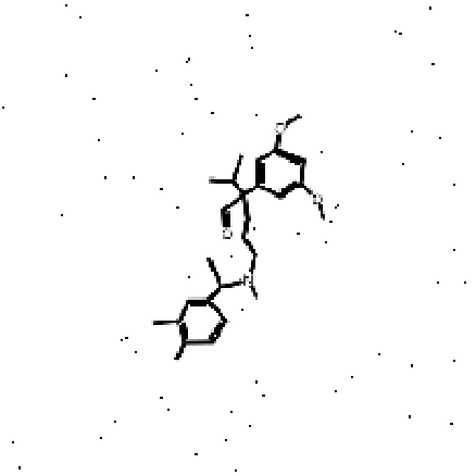 COc1cc(OC)cc(C(C=O)(CCCN(C)C(C)c2ccc(C)c(C)c2)C(C)C)c1